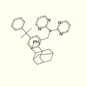 CC(C)(c1ccccc1)c1ccc(C23CC4CC(CC(C4)C2CP)C3)c(CP(c2ncccn2)c2ncccn2)c1